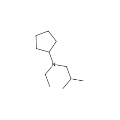 CCN(CC(C)C)C1CCCC1